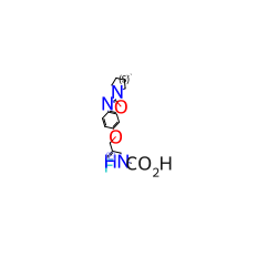 C[C@H]1CCN(c2nc3ccc(OC/C(=C/F)CNC(=O)O)cc3o2)C1